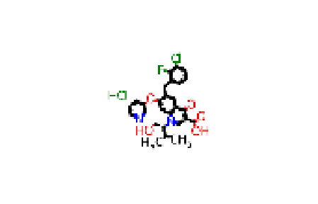 CC(C)[C@@H](CO)n1cc(C(=O)O)c(=O)c2cc(Cc3cccc(Cl)c3F)c(Oc3cccnc3)cc21.Cl